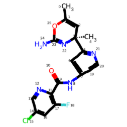 CC1=C[C@@](C)(c2cc(NC(=O)c3ncc(Cl)cc3F)ccn2)N=C(N)O1